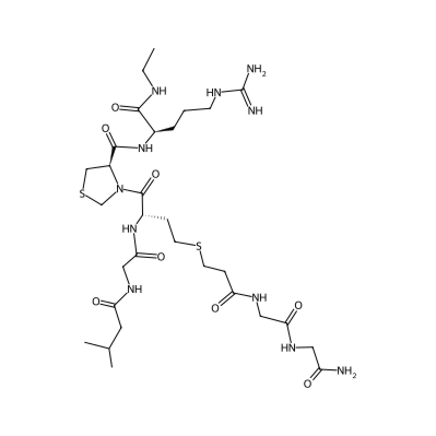 CCNC(=O)[C@@H](CCCNC(=N)N)NC(=O)[C@@H]1CSCN1C(=O)[C@H](CCSCCC(=O)NCC(=O)NCC(N)=O)NC(=O)CNC(=O)CC(C)C